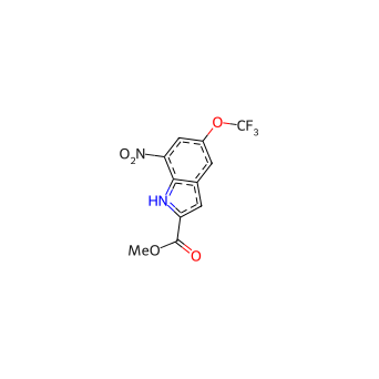 COC(=O)c1cc2cc(OC(F)(F)F)cc([N+](=O)[O-])c2[nH]1